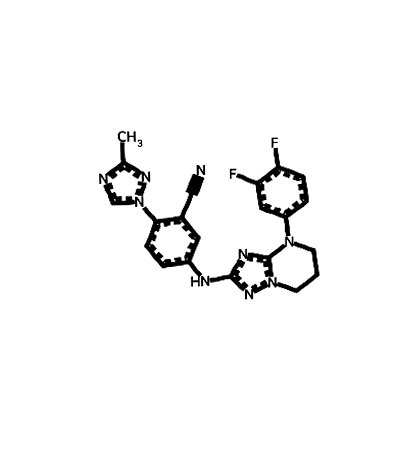 Cc1ncn(-c2ccc(Nc3nc4n(n3)CCCN4c3ccc(F)c(F)c3)cc2C#N)n1